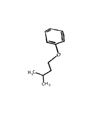 CC(C)CCOc1cc[c]cc1